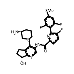 CSc1cc(F)c(-c2nc(C(=O)Nc3cnc4c(c3N3CCC[C@H](N)C3)CC[C@H]4O)ccc2F)c(F)c1